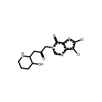 O=C(CC1NCCCC1O)Cn1cnc2c(Cl)c(Cl)sc2c1=O